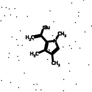 C=C(c1c(C)c(C)cn1C)C(C)(C)C